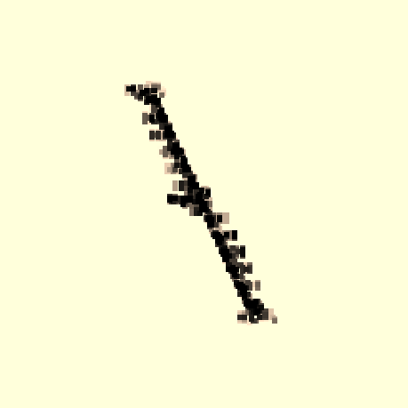 CC(C)(C)OC(=O)N[C@H](CC(=O)NCC(O)COCC(O)COCC(O)COCC(O)COCC(O)COCC1COC(C)(C)O1)C(=O)NCC(O)COCC(O)COCC(O)COCC(O)COCC(O)COCC1COC(C)(C)O1